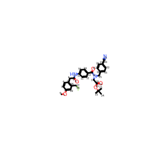 COc1ccc(CC(=O)Nc2ccc(C(=O)N(CC(=O)OC(C)(C)C)Cc3ccc(C#N)cc3)cc2)c(CF)c1